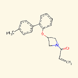 C=CC(=O)N1CC(Oc2ccccc2-c2ccc(C)cc2)C1